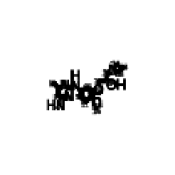 CNc1cc(C)nc(Nc2ccc(OC)c(OCC(O)CN3CCC3)c2)n1